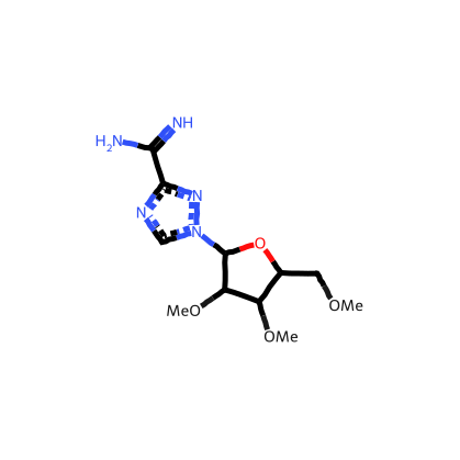 COCC1OC(n2cnc(C(=N)N)n2)C(OC)C1OC